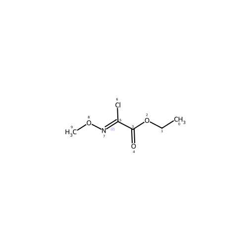 CCOC(=O)/C(Cl)=N/OC